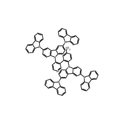 FC(F)(F)c1ccc(-n2c3ccc(-n4c5ccccc5c5ccccc54)cc3c3cc(-n4c5ccccc5c5ccccc54)ccc32)c(-c2cnccc2-n2c3ccc(-n4c5ccccc5c5ccccc54)cc3c3cc(-n4c5ccccc5c5ccccc54)ccc32)c1